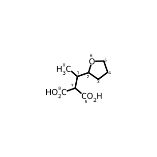 CC(C1CCCO1)C(C(=O)O)C(=O)O